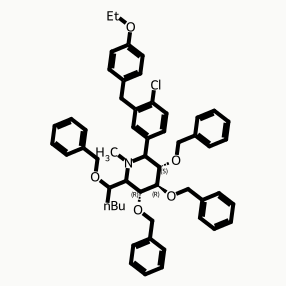 CCCCC(OCc1ccccc1)C1[C@@H](OCc2ccccc2)[C@H](OCc2ccccc2)[C@@H](OCc2ccccc2)C(c2ccc(Cl)c(Cc3ccc(OCC)cc3)c2)N1C